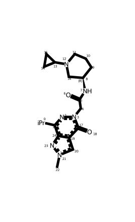 CC(C)c1nn(CC(=O)N[C@@H]2CCCN(C3CC3)C2)c(=O)c2cn(C)nc12